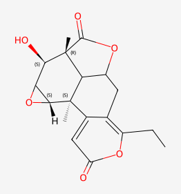 CCc1oc(=O)cc2c1CC1OC(=O)[C@]3(C)C1[C@]2(C)[C@@H]1OC1[C@H]3O